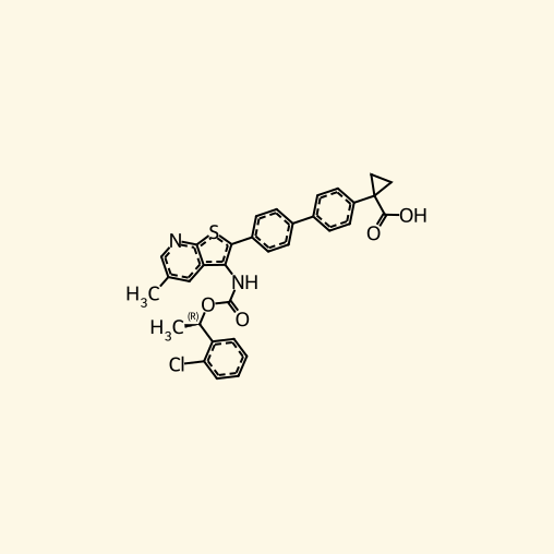 Cc1cnc2sc(-c3ccc(-c4ccc(C5(C(=O)O)CC5)cc4)cc3)c(NC(=O)O[C@H](C)c3ccccc3Cl)c2c1